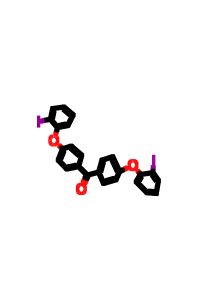 O=C(c1ccc(Oc2ccccc2I)cc1)c1ccc(Oc2ccccc2I)cc1